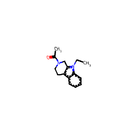 CCn1c2c(c3ccccc31)CCN(C(C)=O)C2